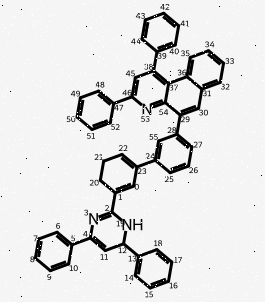 C1=C(C2=NC(c3ccccc3)=CC(c3ccccc3)N2)CCC=C1c1cccc(-c2cc3ccccc3c3c(-c4ccccc4)cc(-c4ccccc4)nc23)c1